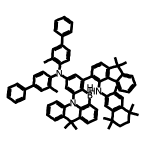 Cc1cc2c(cc1Nc1c(-c3cc(N(c4ccc(-c5ccccc5)cc4C)c4ccc(-c5ccccc5)cc4C)cc4c3Bc3cccc5c3N4c3ccccc3C5(C)C)ccc3c1-c1ccccc1C3(C)C)C(C)(C)CCC2(C)C